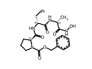 CC(C)C[C@@H](NC(=O)[C@@H]1CCCN1C(=O)OCc1ccccc1)C(=O)N[C@H](C)C(=O)NO